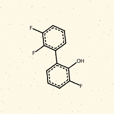 Oc1c(F)cccc1-c1cccc(F)c1F